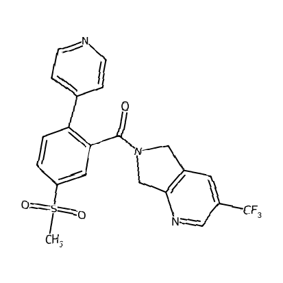 CS(=O)(=O)c1ccc(-c2ccncc2)c(C(=O)N2Cc3cc(C(F)(F)F)cnc3C2)c1